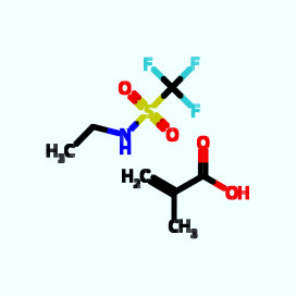 C=C(C)C(=O)O.CCNS(=O)(=O)C(F)(F)F